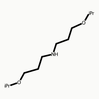 CC(C)OCCCNCCCOC(C)C